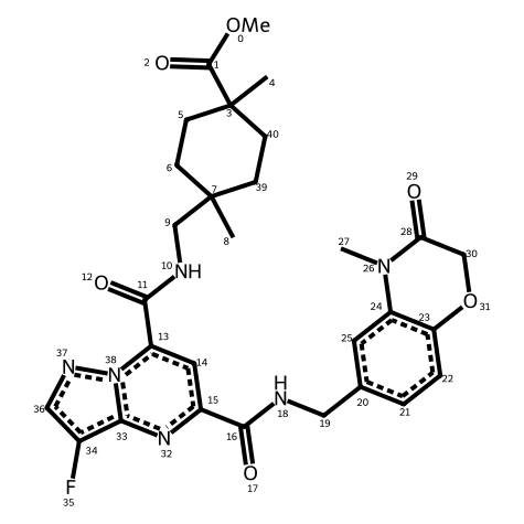 COC(=O)C1(C)CCC(C)(CNC(=O)c2cc(C(=O)NCc3ccc4c(c3)N(C)C(=O)CO4)nc3c(F)cnn23)CC1